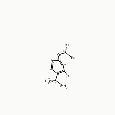 C[C@H](N)c1ccc(OC(F)F)cc1F